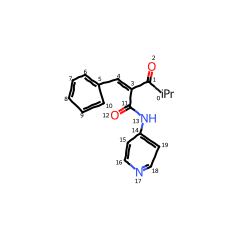 CC(C)C(=O)C(=Cc1ccccc1)C(=O)Nc1ccncc1